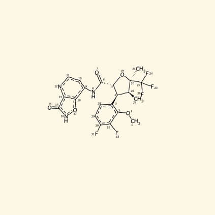 COc1c([C@H]2[C@H](C(=O)Nc3ccnc4c(=O)[nH]oc34)O[C@@](C)(C(F)(F)F)[C@H]2C)ccc(F)c1F